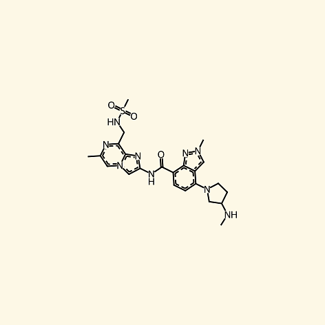 CNC1CCN(c2ccc(C(=O)Nc3cn4cc(C)nc(CNS(C)(=O)=O)c4n3)c3nn(C)cc23)C1